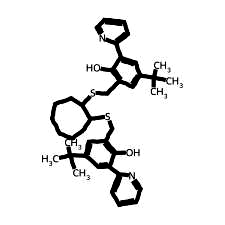 CC(C)(C)c1cc(CSC2CCCCCCC2SCc2cc(C(C)(C)C)cc(-c3ccccn3)c2O)c(O)c(-c2ccccn2)c1